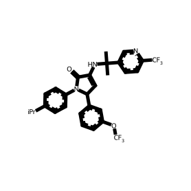 CC(C)c1ccc(N2C(=O)C(NC(C)(C)c3ccc(C(F)(F)F)nc3)=CC2c2cccc(OC(F)(F)F)c2)cc1